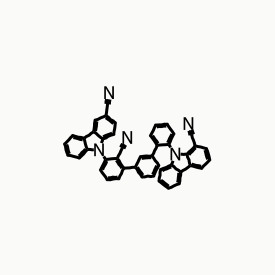 N#Cc1ccc2c(c1)c1ccccc1n2-c1cccc(-c2cccc(-c3ccccc3-n3c4ccccc4c4cccc(C#N)c43)c2)c1C#N